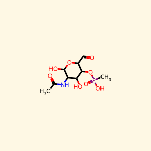 CC(=O)NC1C(O)OC(C=O)C(OP(C)(=O)O)C1O